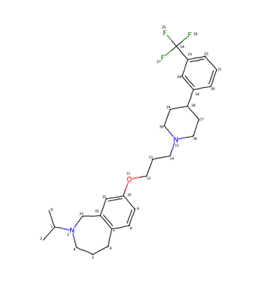 CC(C)N1CCCc2ccc(OCCCN3CCC(c4cccc(C(F)(F)F)c4)CC3)cc2C1